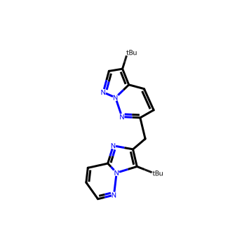 CC(C)(C)c1cnn2nc(Cc3nc4cccnn4c3C(C)(C)C)ccc12